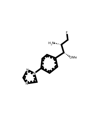 CO[C@H](c1ccc(-n2cncn2)cc1)[C@H](N)CF